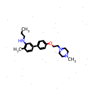 CCCNc1cc(-c2ccc(OCCN3CCN(C)CC3)cc2)ccc1C